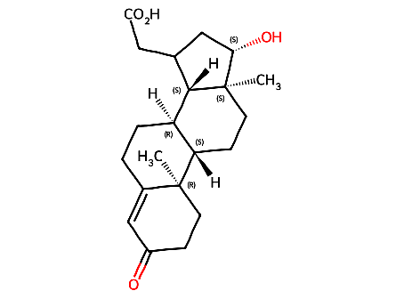 C[C@]12CC[C@H]3[C@@H](CCC4=CC(=O)CC[C@@]43C)[C@@H]1C(CC(=O)O)C[C@@H]2O